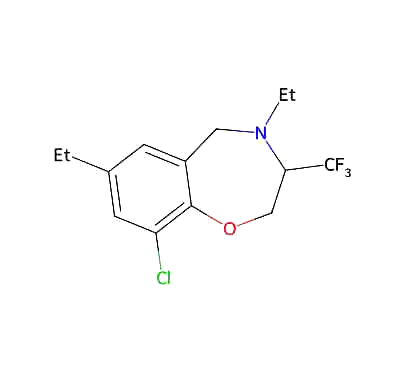 CCc1cc(Cl)c2c(c1)CN(CC)C(C(F)(F)F)CO2